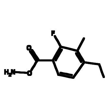 CCc1ccc(C(=O)ON)c(F)c1C